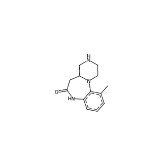 Cc1cccc2c1N1CCNCC1CC(=O)N2